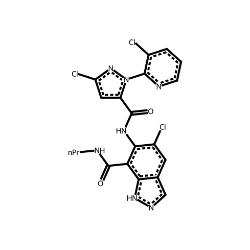 CCCNC(=O)c1c(NC(=O)c2cc(Cl)nn2-c2ncccc2Cl)c(Cl)cc2cn[nH]c12